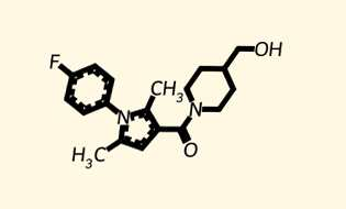 Cc1cc(C(=O)N2CCC(CO)CC2)c(C)n1-c1ccc(F)cc1